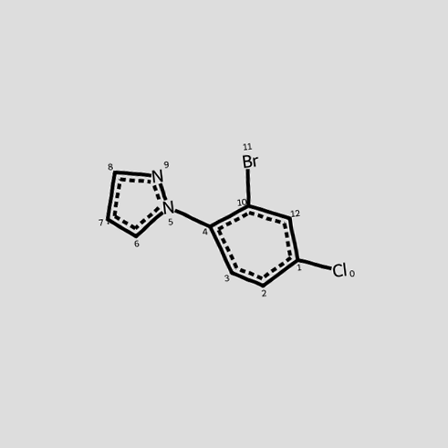 Clc1ccc(-n2c[c]cn2)c(Br)c1